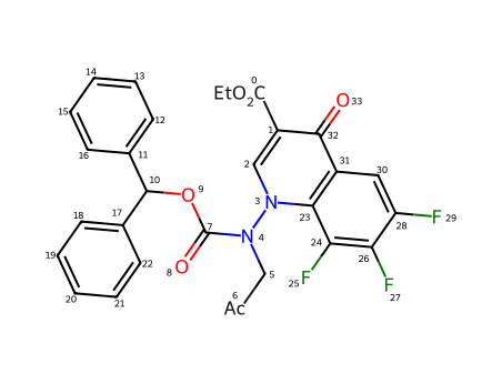 CCOC(=O)c1cn(N(CC(C)=O)C(=O)OC(c2ccccc2)c2ccccc2)c2c(F)c(F)c(F)cc2c1=O